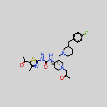 CC(=O)CN1CC[C@@H](NC(=O)Nc2nc(C)c(C(C)=O)s2)[C@H](CN2CCCC(Cc3ccc(F)cc3)C2)C1